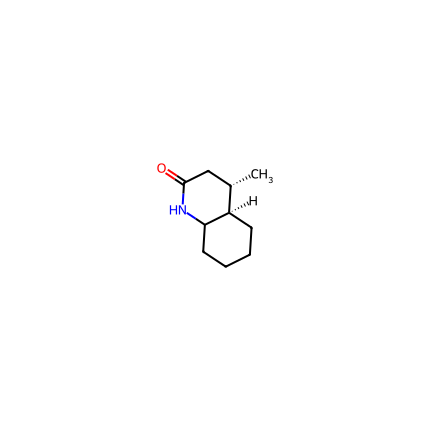 C[C@H]1CC(=O)NC2CCCC[C@@H]21